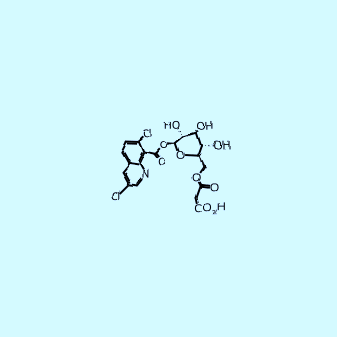 O=C(O)CC(=O)OC[C@H]1O[C@@H](OC(=O)c2c(Cl)ccc3cc(Cl)cnc23)[C@H](O)[C@@H](O)[C@@H]1O